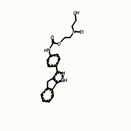 CCN(CCO)CCOC(=O)Nc1ccc(-c2n[nH]c3c2Cc2ccccc2-3)cc1